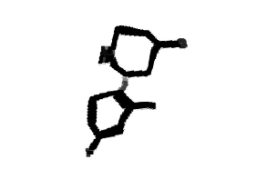 Cc1cc(F)ccc1[C@H]1CC(=O)C=CN1